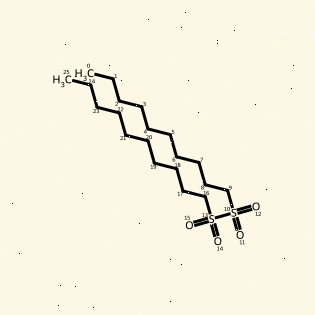 CCCCCCCCCCS(=O)(=O)S(=O)(=O)CCCCCCCCCC